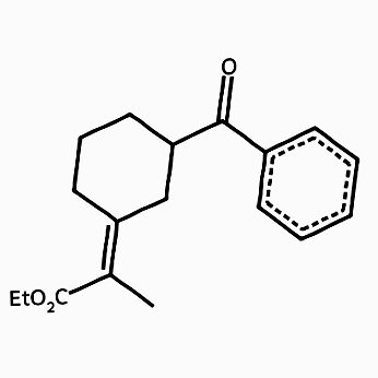 CCOC(=O)C(C)=C1CCCC(C(=O)c2ccccc2)C1